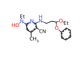 CCOC(CCNc1nc(N(O)CC)cc(C)c1C#N)Oc1ccccc1